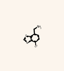 NCc1ccc(Cl)c2n[c]sc12